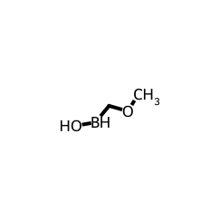 COCBO